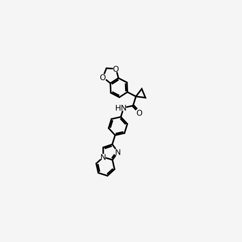 O=C(Nc1ccc(-c2cn3ccccc3n2)cc1)C1(c2ccc3c(c2)OCO3)CC1